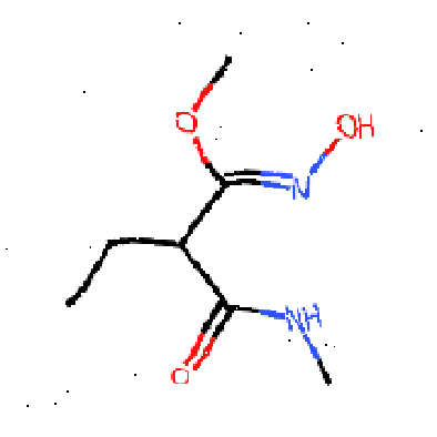 CCC(C(=O)NC)C(=NO)OC